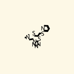 CN(C)CCn1nnnc1SC([C]=S)CSc1ccccn1